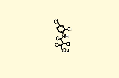 CC(C)(C)C(=O)C(Cl)C(=O)Nc1ccc(Cl)cc1Cl